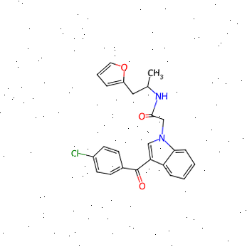 CC(Cc1ccco1)NC(=O)Cn1cc(C(=O)c2ccc(Cl)cc2)c2ccccc21